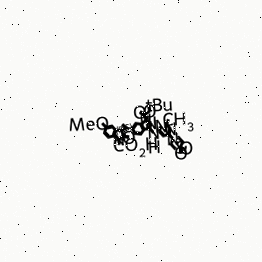 COc1ccc2c(c1)[C@]1(C[C@H]1c1ccc3c(Nc4cc(N5CCS(=O)(=O)CC5)nc(C)n4)nn(C(=O)OC(C)(C)C)c3c1)C(=O)N2C(=O)O